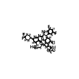 CS(=O)(=O)Nc1nn(CCBr)c2c(-n3c([C@@H](N)Cc4cc(F)cc(F)c4)nc4nc(C5CCC(F)(F)CC5)cc(CO)c4c3=O)ccc(Cl)c12